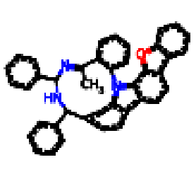 C/C1=N\C(c2ccccc2)NC(c2ccccc2)c2ccc3c4ccc5c6ccccc6oc5c4n(c3c2)-c2ccccc21